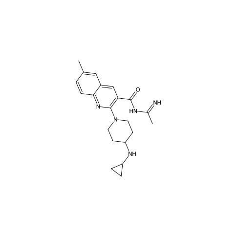 CC(=N)NC(=O)c1cc2cc(C)ccc2nc1N1CCC(NC2CC2)CC1